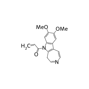 C=CC(=O)n1c2c(c3cc(OC)c(OC)cc31)C=CN=CC2